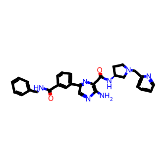 Nc1ncc(-c2cccc(C(=O)NCc3ccccc3)c2)nc1C(=O)N[C@H]1CCN(Cc2ccccn2)C1